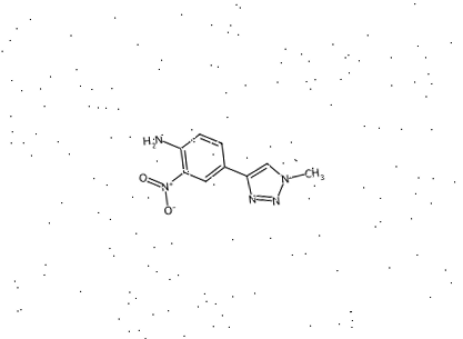 Cn1cc(-c2ccc(N)c([N+](=O)[O-])c2)nn1